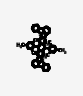 Cc1cc(C)c(-c2c3cc4c5cccc6c7ccccc7n(c4cc3c(-c3c(C)cc(C)cc3C)c3cc4c7cccc8c9ccccc9n(c4cc23)c87)c65)c(C)c1